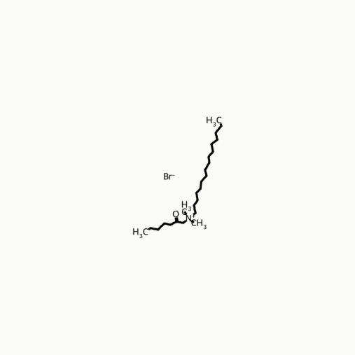 CCCCCCCCCCCCCCCC[N+](C)(C)CC(=O)CCCCC.[Br-]